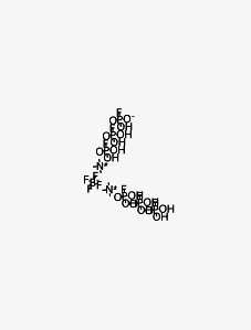 C[N+](C)(C)C.C[N+](C)(C)C.F[B-](F)(F)F.O=P(O)(O)F.O=P(O)(O)F.O=P(O)(O)F.O=P(O)(O)F.O=P(O)(O)F.O=P([O-])(O)F